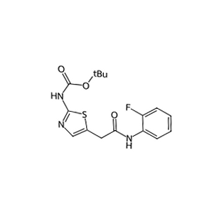 CC(C)(C)OC(=O)Nc1ncc(CC(=O)Nc2ccccc2F)s1